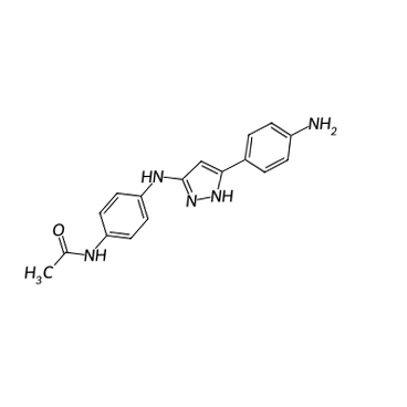 CC(=O)Nc1ccc(Nc2cc(-c3ccc(N)cc3)[nH]n2)cc1